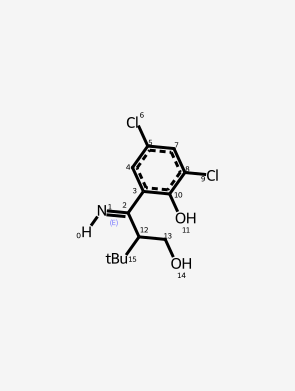 [H]/N=C(/c1cc(Cl)cc(Cl)c1O)C(CO)C(C)(C)C